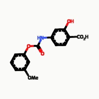 COc1cccc(OC(=O)Nc2ccc(C(=O)O)c(O)c2)c1